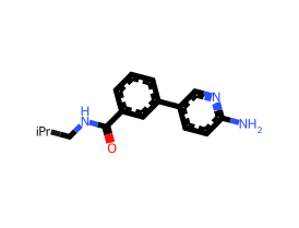 CC(C)CNC(=O)c1cccc(-c2ccc(N)nc2)c1